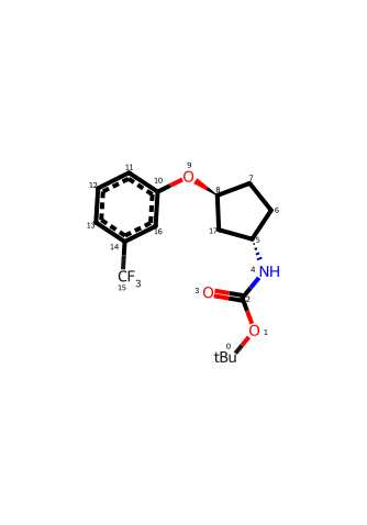 CC(C)(C)OC(=O)N[C@H]1CC[C@H](Oc2cccc(C(F)(F)F)c2)C1